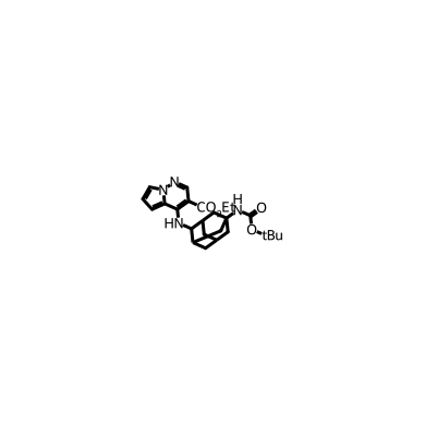 CCOC(=O)c1cnn2cccc2c1NC1C2CC3CC1CC(NC(=O)OC(C)(C)C)(C3)C2